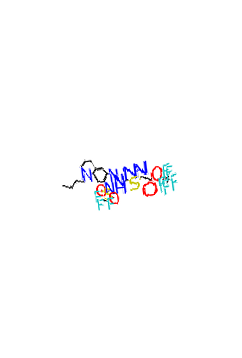 CCCCN1CCCc2cc(N=Nc3nnc(C(=O)OC(F)(F)C(F)(F)F)s3)c(NS(=O)(=O)C(F)(F)F)cc21